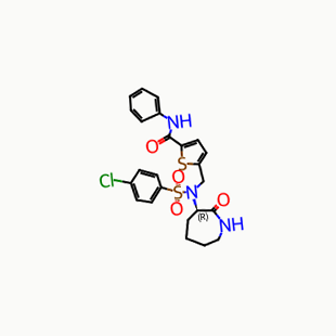 O=C(Nc1ccccc1)c1ccc(CN([C@@H]2CCCCNC2=O)S(=O)(=O)c2ccc(Cl)cc2)s1